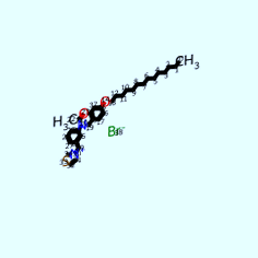 CCCCCCCCCCCCCCOc1ccc(CN(C(C)=O)c2cccc(C[n+]3ccsc3)c2)cc1.[Br-]